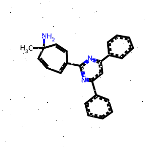 CC1(N)C=CC=C(c2nc(-c3ccccc3)cc(-c3ccccc3)n2)C=C1